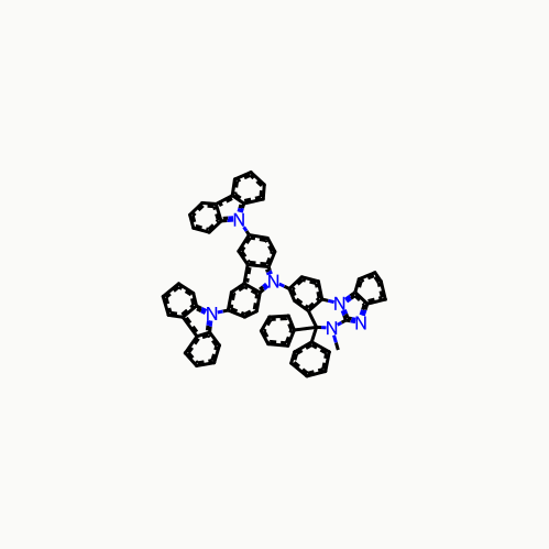 CN1c2nc3ccccc3n2-c2ccc(-n3c4ccc(-n5c6ccccc6c6ccccc65)cc4c4cc(-n5c6ccccc6c6ccccc65)ccc43)cc2C1(c1ccccc1)c1ccccc1